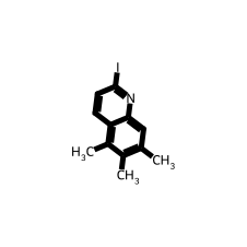 Cc1cc2nc(I)ccc2c(C)c1C